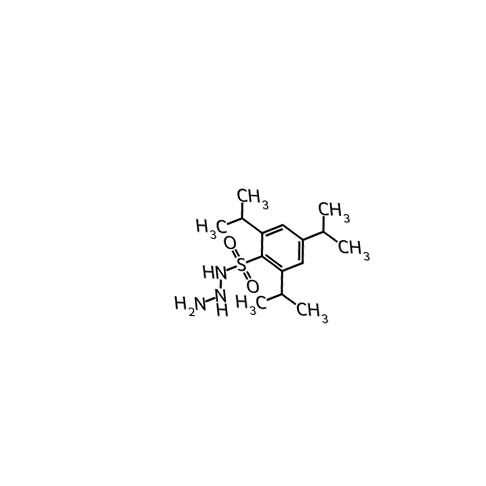 CC(C)c1cc(C(C)C)c(S(=O)(=O)NNN)c(C(C)C)c1